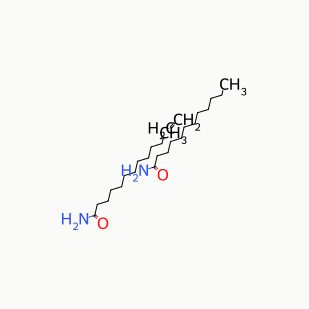 C=C.CCCCCCCCCCCC(N)=O.CCCCCCCCCCCC(N)=O